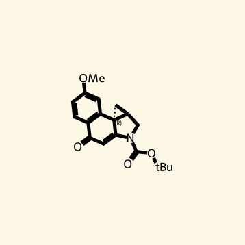 COc1ccc2c(c1)[C@@]13CC1CN(C(=O)OC(C)(C)C)C3=CC2=O